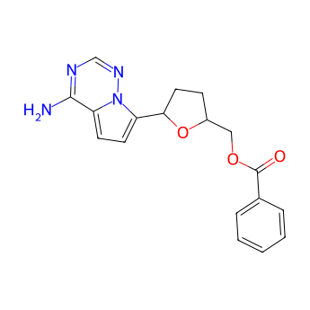 Nc1ncnn2c(C3CCC(COC(=O)c4ccccc4)O3)ccc12